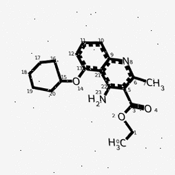 CCOC(=O)c1c(C)nc2cccc(OC3[CH][CH]CCC3)c2c1N